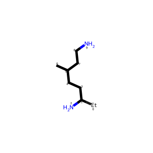 CCC(N)CCC(C)CCN